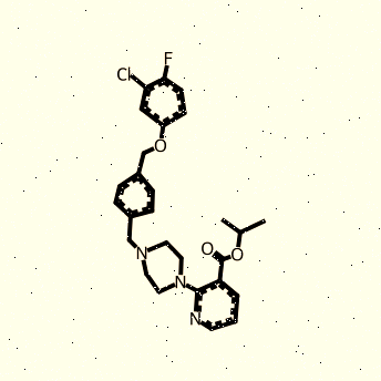 CC(C)OC(=O)c1cccnc1N1CCN(Cc2ccc(COc3ccc(F)c(Cl)c3)cc2)CC1